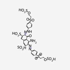 Nc1c(/N=N/c2ccc(S(=O)(=O)CCOS(=O)(=O)O)cc2)c(S(=O)(=O)O)cc2c1C(=O)/C(=N\Nc1ccc(S(=O)(=O)CCOS(=O)(=O)O)cc1)C(S(=O)(=O)O)=C2